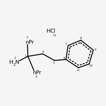 CCCC(N)(CCC)CCc1ccccc1.Cl